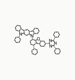 c1ccc(-c2nc(-c3ccccc3)nc(-c3ccc4c(c3)oc3c(-n5c6ccccc6c6cc7c8ccccc8n(-c8ccccc8)c7cc65)ccc(-c5ccccc5)c34)n2)cc1